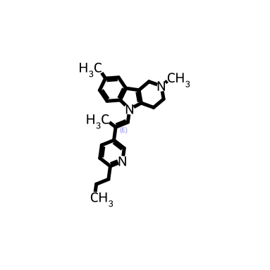 CCCc1ccc(/C(C)=C/n2c3c(c4cc(C)ccc42)CN(C)CC3)cn1